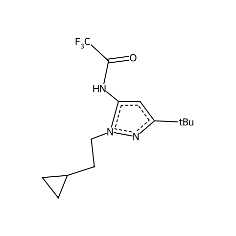 CC(C)(C)c1cc(NC(=O)C(F)(F)F)n(CCC2CC2)n1